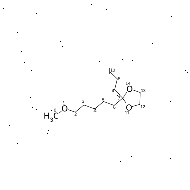 COCCCCCC1(CCI)OCCO1